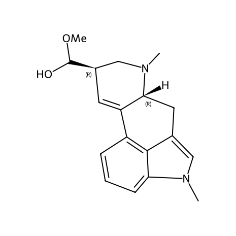 COC(O)[C@@H]1C=C2c3cccc4c3c(cn4C)C[C@H]2N(C)C1